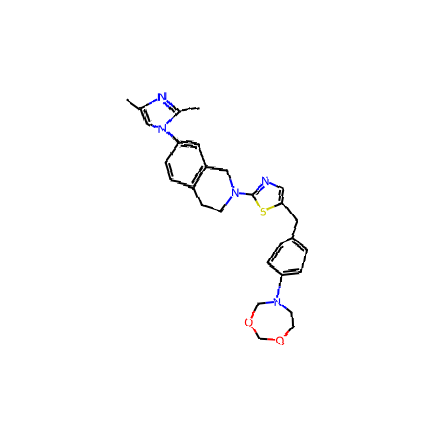 Cc1cn(-c2ccc3c(c2)CN(c2ncc(Cc4ccc(N5CCOCOC5)cc4)s2)CC3)c(C)n1